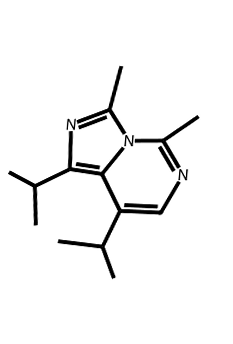 Cc1ncc(C(C)C)c2c(C(C)C)nc(C)n12